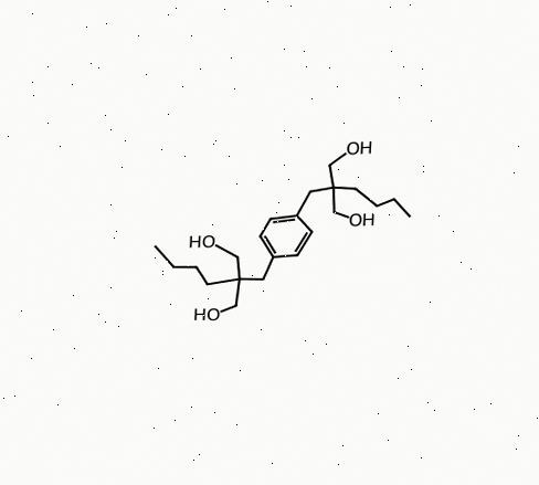 CCCCC(CO)(CO)Cc1ccc(CC(CO)(CO)CCCC)cc1